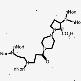 CCCCCCCCCN(CCCCCCCCC)CCN(CCCCCCCCC)CCC(=O)N1CCN(N2CCC(N(CCCCCCCCC)CCCCCCCCC)[C@H]2C(=O)O)CC1